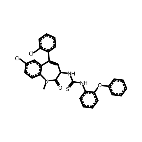 CN1C(=O)C(NC(=S)Nc2ccccc2Oc2ccccc2)C=C(c2ccccc2Cl)c2cc(Cl)ccc21